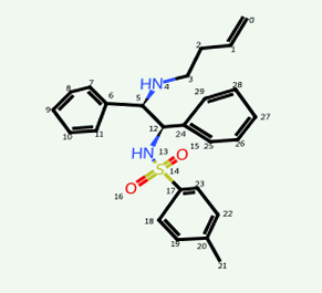 C=CCCN[C@H](c1ccccc1)[C@H](NS(=O)(=O)c1ccc(C)cc1)c1ccccc1